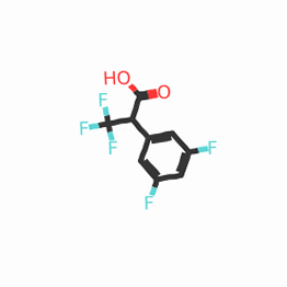 O=C(O)C(c1cc(F)cc(F)c1)C(F)(F)F